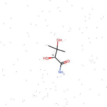 CC(C)(O)[C@H](O)C(N)=O